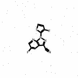 N#Cc1nn(-c2sccc2F)c2ncc(F)cc12